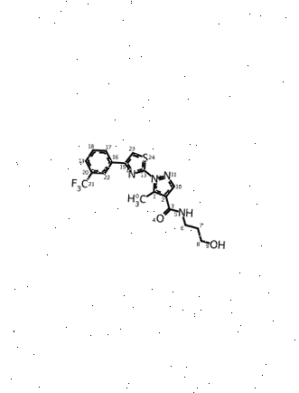 Cc1c(C(=O)NCCCO)cnn1-c1nc(-c2cccc(C(F)(F)F)c2)cs1